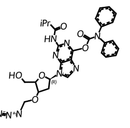 CC(C)C(=O)Nc1nc(OC(=O)N(c2ccccc2)c2ccccc2)c2ncn([C@H]3CC(OCN=[N+]=[N-])C(CO)O3)c2n1